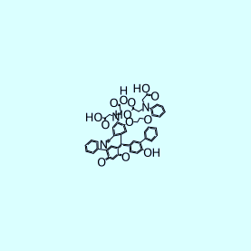 N#Cc1cc(N(CC(=O)O)CC(=O)O)c(OCCOc2ccccc2N(CC(=O)O)CC(=O)O)cc1-c1c2cc(-c3ccccc3)c(=O)cc-2oc2cc(O)c(-c3ccccc3)cc12